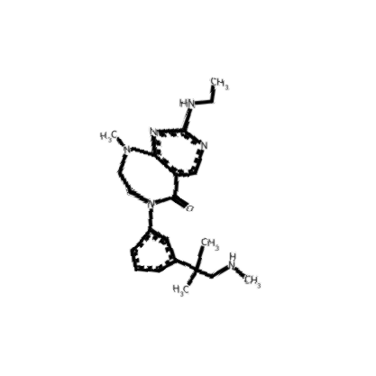 CCNc1ncc2c(n1)N(C)CCN(c1cccc(C(C)(C)CNC)c1)C2=O